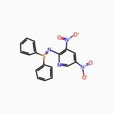 O=[N+]([O-])c1cnc(N=S(c2ccccc2)c2ccccc2)c([N+](=O)[O-])c1